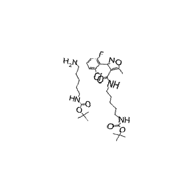 CC(C)(C)OC(=O)NCCCCCN.Cc1onc(-c2c(F)cccc2Cl)c1C(=O)NCCCCCNC(=O)OC(C)(C)C